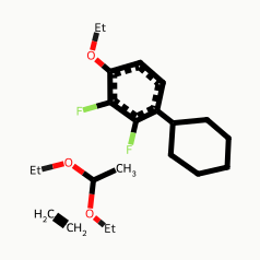 C=C.CCOC(C)OCC.CCOc1ccc(C2CCCCC2)c(F)c1F